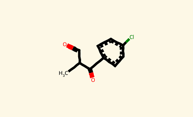 CC(C=O)C(=O)c1ccc(Cl)cc1